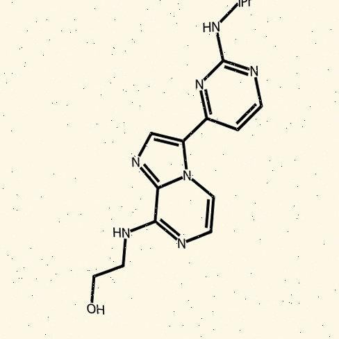 CC(C)Nc1nccc(-c2cnc3c(NCCO)nccn23)n1